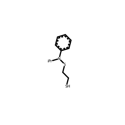 CC(C)N(SCCS)c1ccccc1